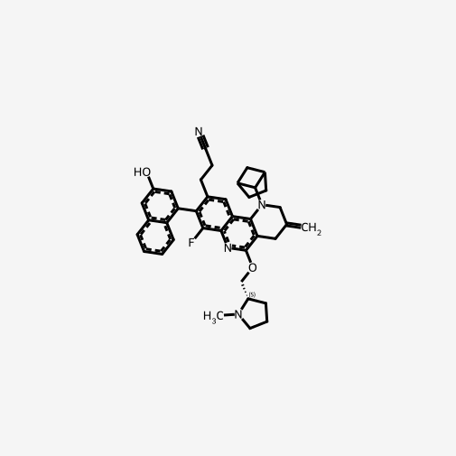 C=C1Cc2c(OC[C@@H]3CCCN3C)nc3c(F)c(-c4cc(O)cc5ccccc45)c(CCC#N)cc3c2N(C2C3CCC2C3)C1